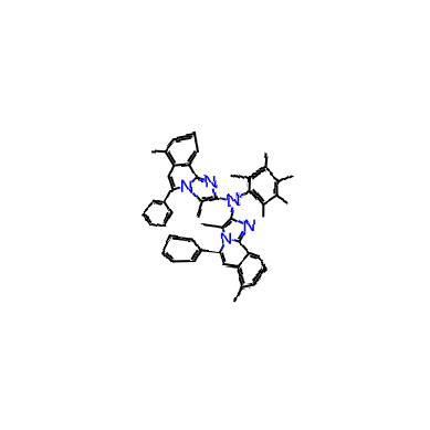 Cc1c(C)c(C)c(N(c2nc3c4cccc(C)c4cc(-c4ccccc4)n3c2C)c2nc3c4cccc(C)c4cc(-c4ccccc4)n3c2C)c(C)c1C